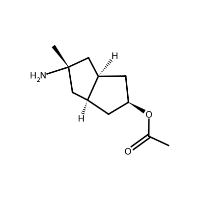 CC(=O)O[C@@H]1C[C@@H]2C[C@@](C)(N)C[C@@H]2C1